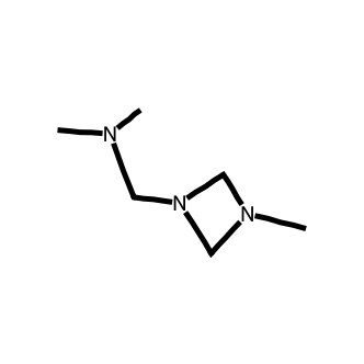 CN(C)CN1CN(C)C1